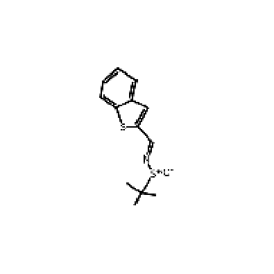 CC(C)(C)[S@+]([O-])N=Cc1cc2ccccc2s1